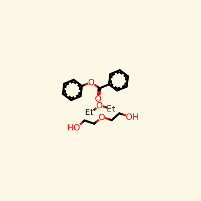 CCOCC.O=C(Oc1ccccc1)c1ccccc1.OCCOCCO